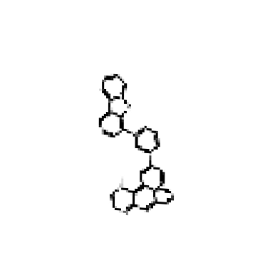 C1=CC2=CC3=NC=CNC3=C3C=C(c4cccc(-c5cccc6c5sc5ccccc56)c4)C=CC23C=C1